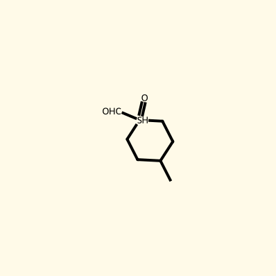 CC1CC[SH](=O)(C=O)CC1